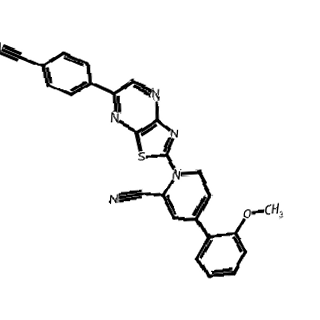 COc1ccccc1C1=CCN(c2nc3ncc(-c4ccc(C#N)cc4)nc3s2)C(C#N)=C1